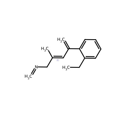 C=NC/C(C)=C/C(=C)c1ccccc1CC